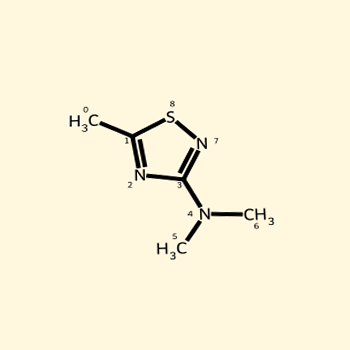 Cc1nc(N(C)C)ns1